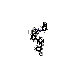 O=S(=O)(/C=C/c1cccc(Br)c1)Nc1cccc(-c2nnn(Cc3cccc(Cl)c3)n2)c1